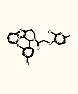 O=C(COc1ccc(I)nc1Cl)N1CCc2nc3ccccn3c2C1c1ccc(Cl)cc1F